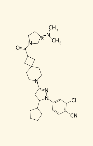 CN(C)[C@@H]1CCN(C(=O)C2CC3(CCN(C4=NN(c5ccc(C#N)c(Cl)c5)C(C5CCCC5)C4)CC3)C2)C1